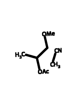 CC#N.COCC(C)OC(C)=O